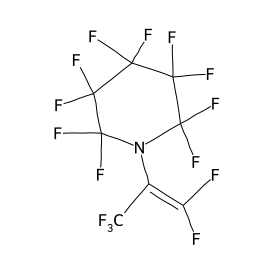 FC(F)=C(N1C(F)(F)C(F)(F)C(F)(F)C(F)(F)C1(F)F)C(F)(F)F